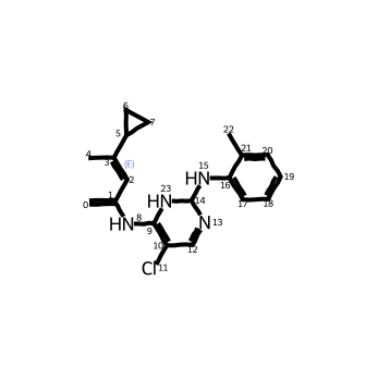 C=C(/C=C(\C)C1CC1)NC1=C(Cl)C=NC(Nc2ccccc2C)N1